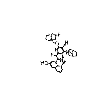 C#Cc1cccc2cc(O)cc(-c3ncc4c(N5CC6CCC(C5)N6)c(C#N)c(OC[C@@]56CCCN5C[C@H](F)C6)nc4c3F)c12